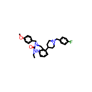 CCNC(=O)N(Cc1ccc(OC)cc1)Cc1ccccc1C1CCN(Cc2ccc(F)cc2)CC1